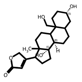 CC12CCC3[C@@H](CCC4C[C@@H](O)CCC43CO)[C@@]1(O)CCC2C1=CC(=O)OC1